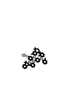 Cc1ccccc1N(c1ccc2c(c1)N(c1cc3c(cc1C)C(C)(C)CCC3(C)C)c1cc(C(C)(C)C)cc3c1B2c1cccc2c4c(n-3c12)C(C)(C)c1ccccc1-4)c1ccccc1C